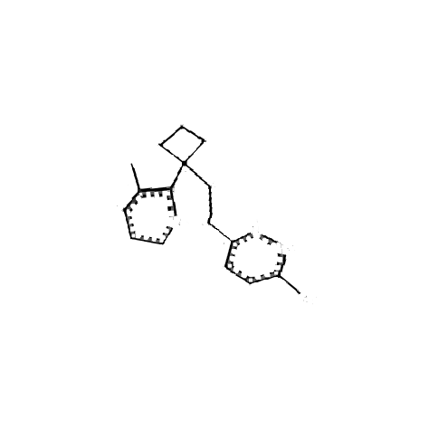 CC(=O)c1ccc(CCC2(c3ncccc3F)CCC2)nn1